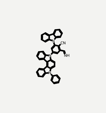 N#Cc1c(C=N)cc(-n2c3ccccc3c3c4c5ccccc5n(-c5ccccc5)c4ccc32)cc1-n1c2ccccc2c2ccccc21